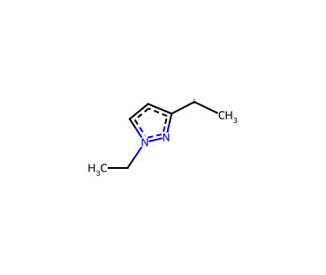 C[CH]c1ccn(CC)n1